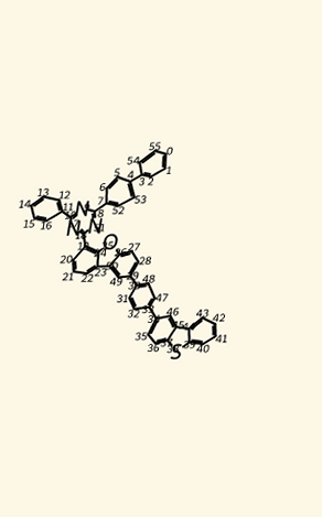 c1ccc(-c2ccc(-c3nc(-c4ccccc4)nc(-c4cccc5c4oc4ccc(-c6ccc(-c7ccc8sc9ccccc9c8c7)cc6)cc45)n3)cc2)cc1